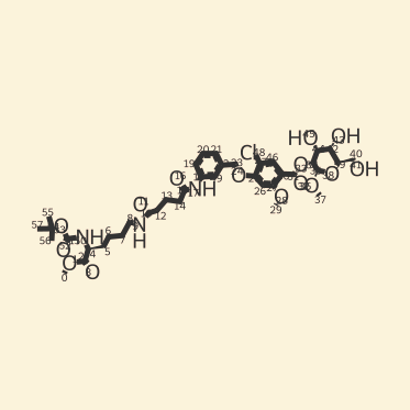 COC(=O)[C@H](CCCCNC(=O)CCCC(=O)Nc1cccc(COc2cc(OC)c(C(=O)O[C@H]3[C@@H](OC)O[C@H](CO)[C@@H](O)[C@@H]3O)cc2Cl)c1)NC(=O)OC(C)(C)C